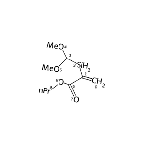 C=C([SiH2]C(OC)OC)C(=O)OCCC